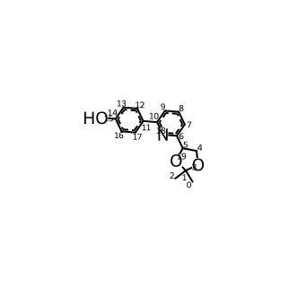 CC1(C)OCC(c2cccc(-c3ccc(O)cc3)n2)O1